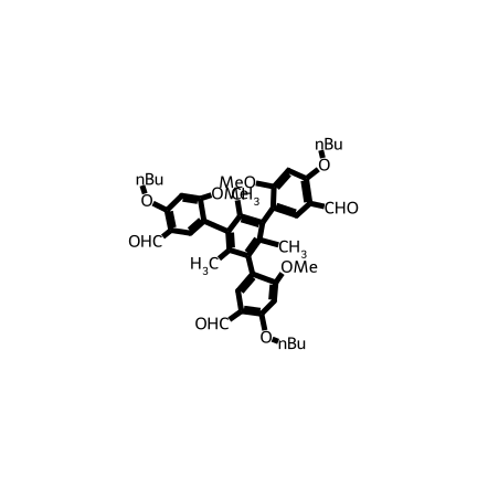 CCCCOc1cc(OC)c(-c2c(C)c(-c3cc(C=O)c(OCCCC)cc3OC)c(C)c(-c3cc(C=O)c(OCCCC)cc3OC)c2C)cc1C=O